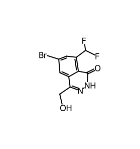 O=c1[nH]nc(CO)c2cc(Br)cc(C(F)F)c12